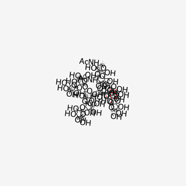 CC(=O)NC1[C@H](O[C@@H]2C(CO)O[C@@H](C)C(NC(C)=O)[C@H]2O)OC(CO)[C@@H](O[C@@H]2OC(CO[C@H]3OC(CO[C@H]4OC(CO)[C@@H](O)[C@H](O)C4O[C@H]4OC(CO)[C@@H](O)[C@H](O)C4O)[C@@H](O)[C@H](O[C@H]4O[C@@H](CO)[C@@H](O)C(O)C4O[C@H]4O[C@@H](CO)[C@@H](O)C(O)C4O)C3O)[C@@H](O)[C@H](O[C@H]3O[C@@H](CO)[C@@H](O)C(O)C3O[C@H]3O[C@@H](CO)[C@@H](O)C(O)C3O[C@H]3O[C@@H](CO)[C@@H](O)C(O)C3O)C2O)[C@@H]1O